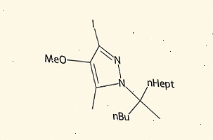 CCCCCCCC(C)(CCCC)n1nc(I)c(OC)c1C